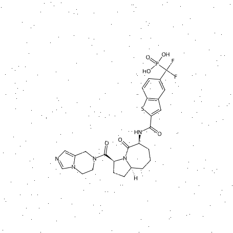 O=C(N[C@H]1CCC[C@H]2CC[C@@H](C(=O)N3CCn4cncc4C3)N2C1=O)c1cc2cc(C(F)(F)P(=O)(O)O)ccc2s1